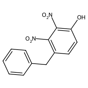 O=[N+]([O-])c1c(O)ccc(Cc2ccccc2)c1[N+](=O)[O-]